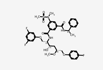 CO[C@@H](COc1ccc(F)cc1)C[C@H](O)[C@H](COc1cc(F)cc(F)c1)NC(=O)c1cc(C(=O)N[C@H](C)c2ccccc2)cc(N(C)S(C)(=O)=O)c1